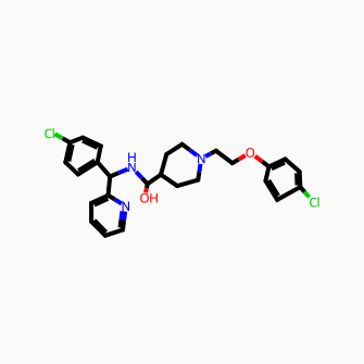 OC(NC(c1ccc(Cl)cc1)c1ccccn1)C1CCN(CCOc2ccc(Cl)cc2)CC1